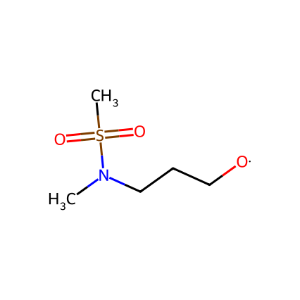 CN(CCC[O])S(C)(=O)=O